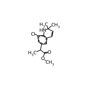 COC(=O)C(C)c1cc(Cl)c2c(c1)C=CC(C)(C)N2